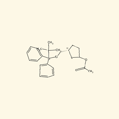 CC(=O)OC1CC[C@@H](CO[Si](c2ccccc2)(c2ccccc2)C(C)(C)C)S1